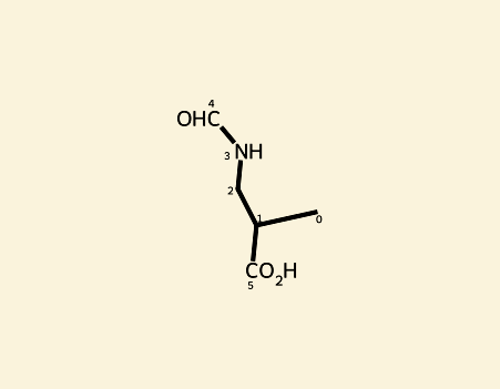 CC(CNC=O)C(=O)O